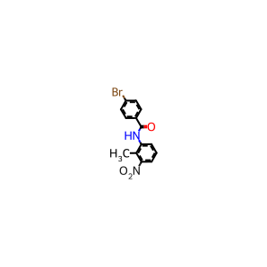 Cc1c(NC(=O)c2ccc(Br)cc2)cccc1[N+](=O)[O-]